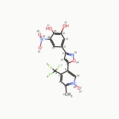 Cc1cc(C(F)(F)F)c(-c2cc(-c3cc(O)c(O)c([N+](=O)[O-])c3)no2)c[n+]1[O-]